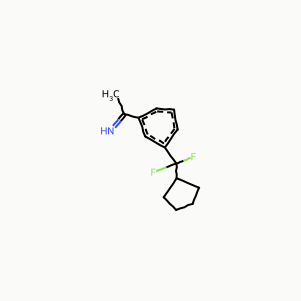 CC(=N)c1cccc(C(F)(F)C2CCCC2)c1